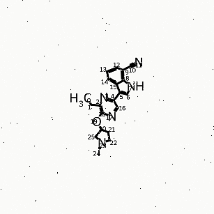 CCc1nc(-c2c[nH]c3c(C#N)cccc23)cnc1OC1CCN(I)C1